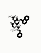 CN1CC(=O)N2[C@@H](CC(=O)O)C(=O)N(Cc3cccc4ccccc34)C[C@@H]2N1C(=O)NCc1ccccc1